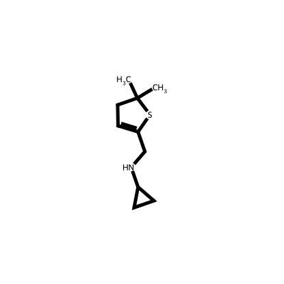 CC1(C)CC=C(CNC2CC2)S1